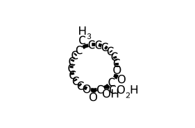 CC1CCCCCCCOC(=O)CC(O)(C(=O)O)CC(=O)OCCCCCC1